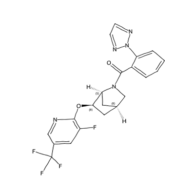 O=C(c1ccccc1-n1nccn1)N1C[C@H]2C[C@@H](Oc3ncc(C(F)(F)F)cc3F)[C@@H]1C2